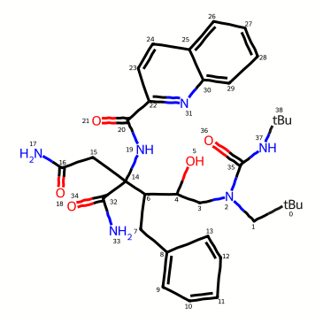 CC(C)(C)CN(CC(O)C(Cc1ccccc1)C(CC(N)=O)(NC(=O)c1ccc2ccccc2n1)C(N)=O)C(=O)NC(C)(C)C